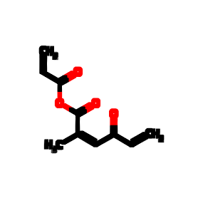 C=CC(=O)C=C(C)C(=O)OC(=O)C=C